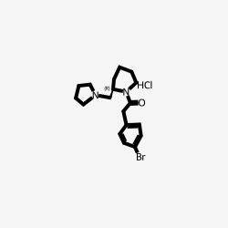 Cl.O=C(Cc1ccc(Br)cc1)N1CCCC[C@@H]1CN1CCCC1